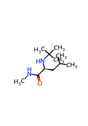 CNC(=O)[C@H](CC(C)C)NC(C)(C)C